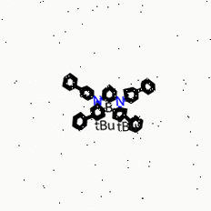 CC(C)(C)c1cc2c(cc1-c1ccccc1)N(c1ccc(-c3ccccc3)cc1)c1cccc3c1B2c1cc(C(C)(C)C)c(-c2ccccc2)cc1N3c1ccc(-c2ccccc2)cc1